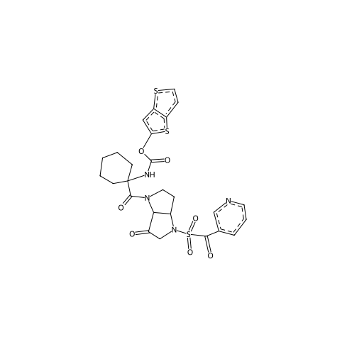 O=C(NC1(C(=O)N2CCC3C2C(=O)CN3S(=O)(=O)C(=O)c2cccnc2)CCCCC1)Oc1cc2sccc2s1